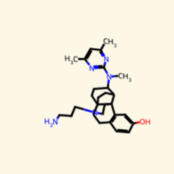 Cc1cc(C)nc(N(C)C2CCC34CCC2C32CCN(CCCN)C4Cc3ccc(O)cc32)n1